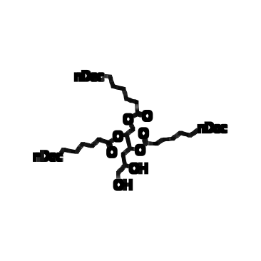 CCCCCCCCCCCCCCCC(=O)OCC(OC(=O)CCCCCCCCCCCCCCC)C(CC(O)CO)OC(=O)CCCCCCCCCCCCCCC